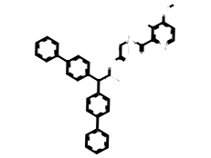 COc1ccnc(C(=O)N[C@@H](C)C(=O)O[C@@H](C)C(c2ccc(-c3ccccc3)cc2)c2ccc(-c3ccccc3)cc2)c1O